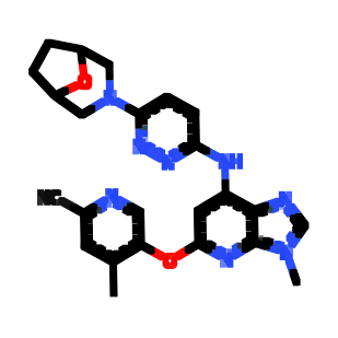 Cc1cc(C#N)ncc1Oc1cc(Nc2ccc(N3CC4CCC(C3)O4)nn2)c2ncn(C)c2n1